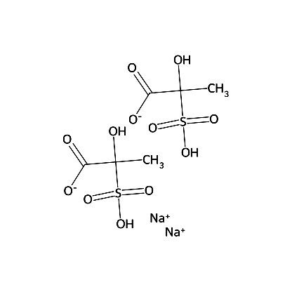 CC(O)(C(=O)[O-])S(=O)(=O)O.CC(O)(C(=O)[O-])S(=O)(=O)O.[Na+].[Na+]